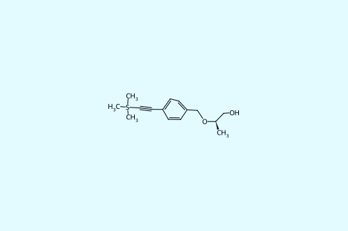 C[C@H](CO)OCc1ccc(C#CS(C)(C)C)cc1